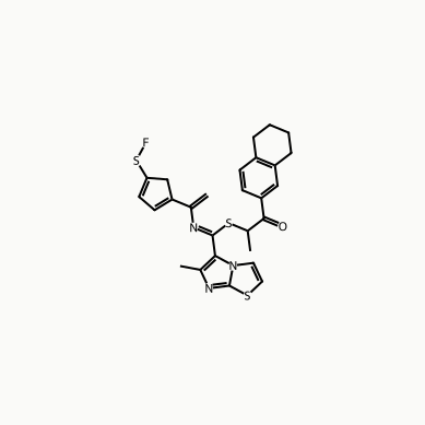 C=C(/N=C(\SC(C)C(=O)c1ccc2c(c1)CCCC2)c1c(C)nc2sccn12)C1=CC=C(SF)C1